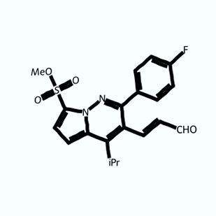 COS(=O)(=O)c1ccc2c(C(C)C)c(C=CC=O)c(-c3ccc(F)cc3)nn12